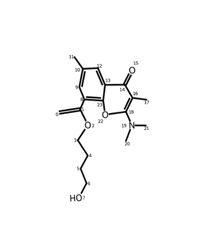 C=C(OCCCCO)c1cc(C)cc2c(=O)c(C)c(N(C)C)oc12